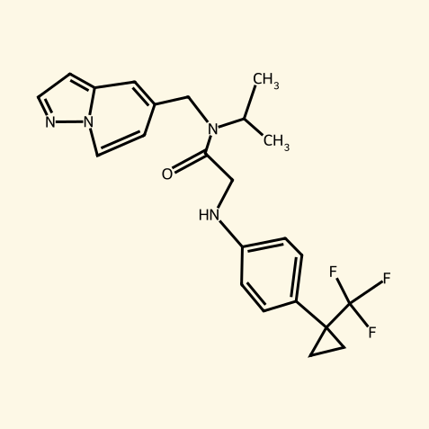 CC(C)N(Cc1ccn2nccc2c1)C(=O)CNc1ccc(C2(C(F)(F)F)CC2)cc1